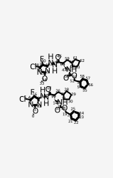 COc1nc(Cl)c(F)c(NNC(=O)[C@@H](CNC(=O)OCc2ccccc2)CC2CCCC2)n1.COc1nc(Cl)c(F)c(NNC(=O)[C@@H](CNC(=O)OCc2ccccc2)CC2CCCC2)n1